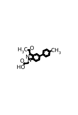 CC(=O)c1nn(CC(=O)O)c2ccc(-c3ccc(C)cc3)cc12